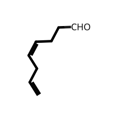 C=CC/C=C\CCC=O